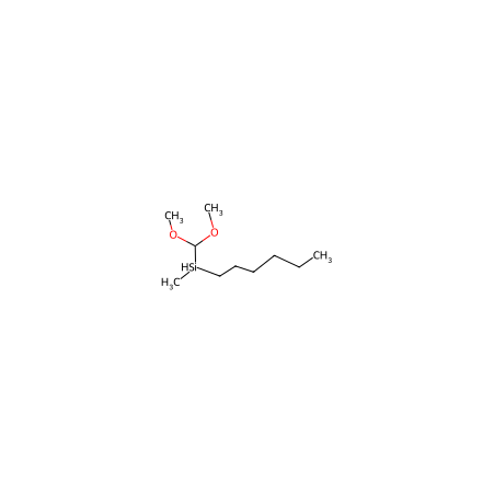 CCCCCC[SiH](C)C(OC)OC